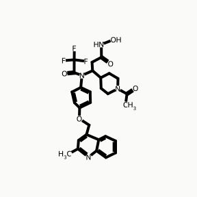 CC(=O)N1CCC(C(CC(=O)NO)N(C(=O)C(F)(F)F)c2ccc(OCc3cc(C)nc4ccccc34)cc2)CC1